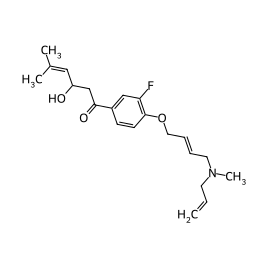 C=CCN(C)CC=CCOc1ccc(C(=O)CC(O)C=C(C)C)cc1F